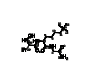 BC(=O)CNC(=O)[C@H](CCCC[N+](C)(C)C)NC(=O)[C@@H](NO)C(C)C